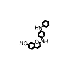 O=C(/C=C\c1ccc(O)cc1)Nc1ccc(Nc2ccccc2)cc1